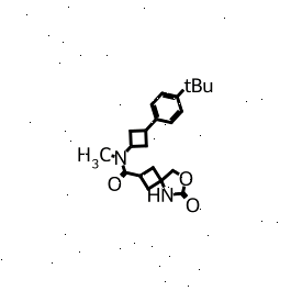 CN(C(=O)C1CC2(COC(=O)N2)C1)C1CC(c2ccc(C(C)(C)C)cc2)C1